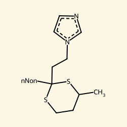 CCCCCCCCCC1(CCn2ccnc2)SCCC(C)S1